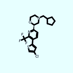 FC(F)(F)c1nc([C@@H]2CN(CC3CCCC3)CCO2)ccc1-c1cc(Cl)cs1